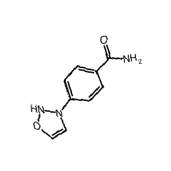 NC(=O)c1ccc(N2C=CON2)cc1